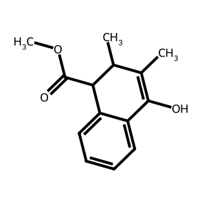 COC(=O)C1c2ccccc2C(O)=C(C)C1C